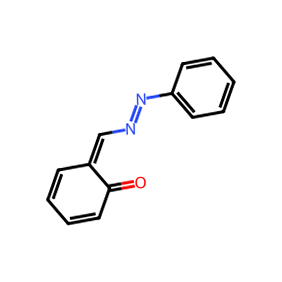 O=C1C=CC=C/C1=C/N=N/c1ccccc1